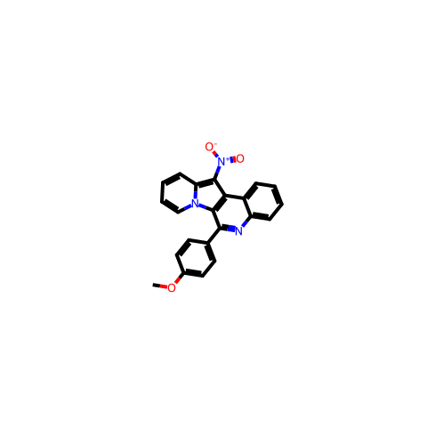 COc1ccc(-c2nc3ccccc3c3c([N+](=O)[O-])c4ccccn4c23)cc1